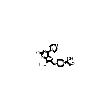 Cc1c(CN2CCN(C(O)C=O)CC2)sc2c(N3CCOCC3)nc(Cl)nc12